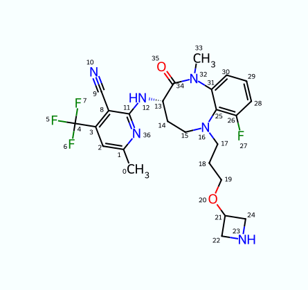 Cc1cc(C(F)(F)F)c(C#N)c(N[C@H]2CCN(CCCOC3CNC3)c3c(F)cccc3N(C)C2=O)n1